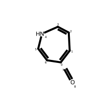 C1=CC=CNC=C1.C=O